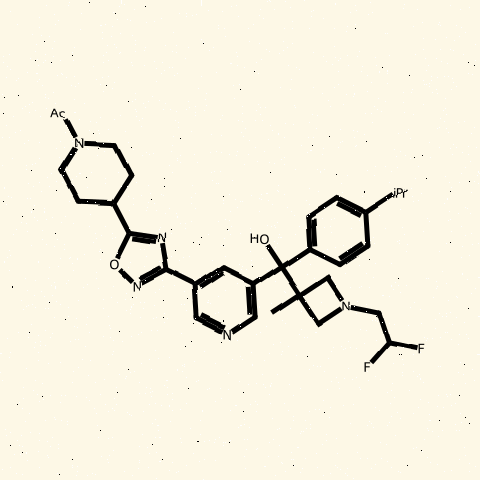 CC(=O)N1CCC(c2nc(-c3cncc(C(O)(c4ccc(C(C)C)cc4)C4(C)CN(CC(F)F)C4)c3)no2)CC1